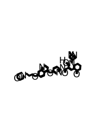 Cn1cc(-n2c3c(cc(C(=O)Nc4ccc(Oc5ccnc6cc(OCCCN7CCOCC7)ccc56)cn4)c2=O)C(=O)CCC3)cn1